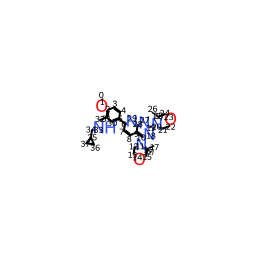 COc1ccc(-c2ccc3c(N4CCOC[C@@H]4C)nc(N4CCOC[C@@H]4C)nc3n2)cc1CNCC1CC1